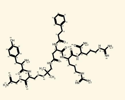 CC(C)(CNC(=O)CC(NC(=O)CCc1ccccc1)C(=O)NC(CCCNC(=N)N)C(=O)NC(CCCNC(=N)N)C(N)=O)SSCC(NC(=O)C(N)Cc1ccc(O)cc1)C(=O)NCC(N)=O